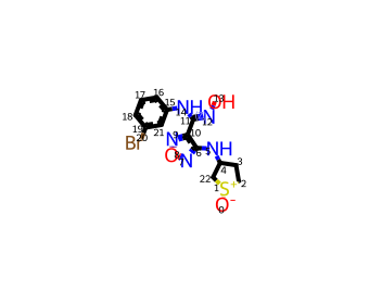 [O-][S+]1CCC(Nc2nonc2/C(=N/O)Nc2cccc(Br)c2)C1